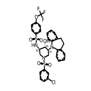 O=S(=O)(N[C@@H]1CN(S(=O)(=O)c2cccc(Cl)c2)C[C@H](N2c3ccccc3CCc3ccccc32)[C@H]1O)c1ccc(OC(F)(F)F)cc1